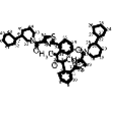 CC(C(=O)C(C)c1ccccc1-c1nc(C(=O)N2CCCC(C3CCCCC3)C2)cs1)c1ccccc1-c1nc(C(=O)N2CCCC(C3CCCCC3)C2)cs1